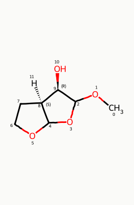 COC1OC2OCC[C@H]2[C@H]1O